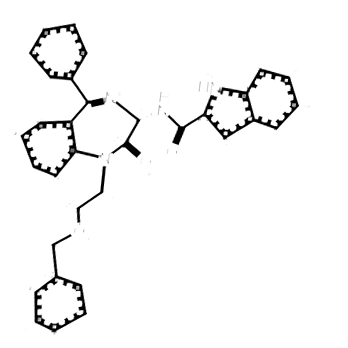 O=C(N[C@H]1N=C(c2ccccc2)c2ccccc2N(CCOCc2ccccc2)C1=O)c1cc2ccccc2[nH]1